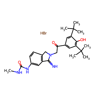 Br.CNC(=O)Nc1ccc2c(c1)C(=N)N(CC(=O)c1cc(C(C)(C)C)c(O)c(C(C)(C)C)c1)C2